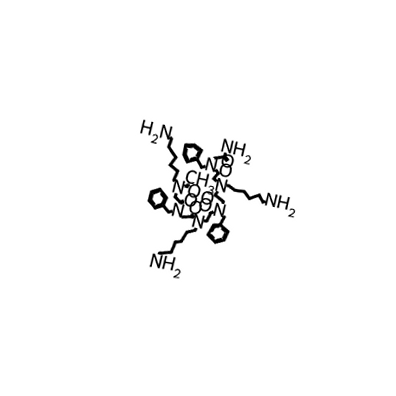 CC(=O)N(CCCCCCN)CC(=O)N(CC(=O)N(CCCCCCN)CC(=O)N(CC(=O)N(CCCCCCN)CC(=O)N(CC(N)=O)Cc1ccccc1)Cc1ccccc1)Cc1ccccc1